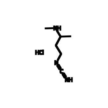 CNC(C)CCN=C=N.Cl